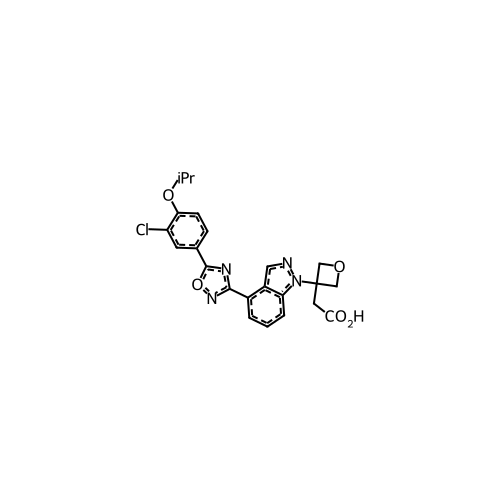 CC(C)Oc1ccc(-c2nc(-c3cccc4c3cnn4C3(CC(=O)O)COC3)no2)cc1Cl